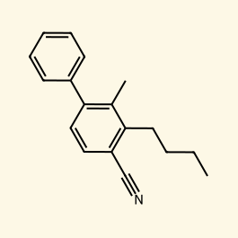 CCCCc1c(C#N)ccc(-c2ccccc2)c1C